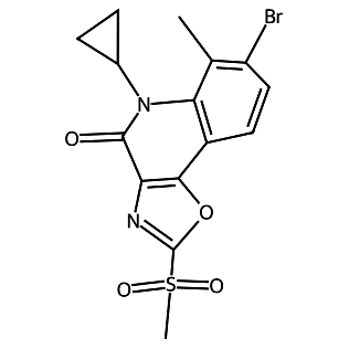 Cc1c(Br)ccc2c3oc(S(C)(=O)=O)nc3c(=O)n(C3CC3)c12